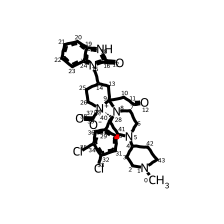 CN1CCC(N2CCN(C3(CC=O)CC(n4c(=O)[nH]c5ccccc54)CC[N@+]3(Cc3ccc(Cl)c(Cl)c3)C(=O)[O-])CC2)CC1